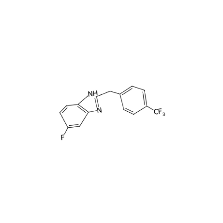 Fc1ccc2[nH]c(Cc3ccc(C(F)(F)F)cc3)nc2c1